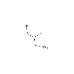 CNCC(I)CC(C)C